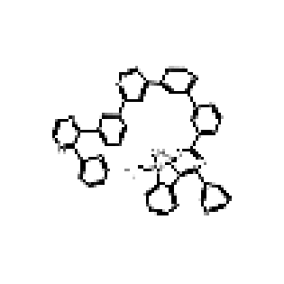 C[Si]1(C)c2ccccc2-c2c(-c3ccccc3)nc(-c3cccc(-c4cccc(-c5cccc(-c6cccc(-c7nccnc7-c7ccccc7)c6)c5)c4)c3)nc21